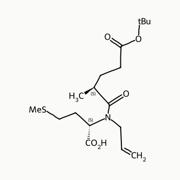 C=CCN(C(=O)[C@@H](C)CCC(=O)OC(C)(C)C)[C@@H](CCSC)C(=O)O